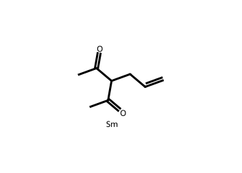 C=CCC(C(C)=O)C(C)=O.[Sm]